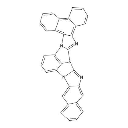 c1ccc2cc3c(cc2c1)nc1n3c2cccc3c2n1c1nc2c4ccccc4c4ccccc4c2n31